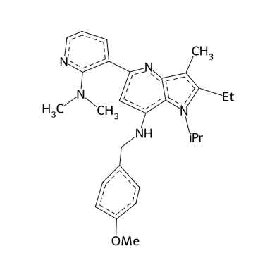 CCc1c(C)c2nc(-c3cccnc3N(C)C)cc(NCc3ccc(OC)cc3)c2n1C(C)C